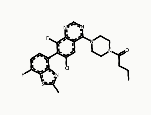 CCCC(=O)N1CCN(c2ncnc3c(F)c(-c4ccc(F)c5sc(C)nc45)c(Cl)cc23)CC1